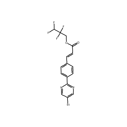 CCc1cnc(-c2ccc(C=CC(=O)OCC(F)(F)C(F)F)cc2)nc1